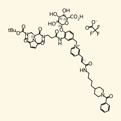 CC(C)(C)OC(=O)NC[C@@H](C(=O)NCCC(=O)Nc1cc(C[n+]2cccc(/C=C/C(=O)NCCCCC3CCN(C(=O)c4ccccc4)CC3)c2)ccc1O[C@@H]1O[C@H](C(=O)O)[C@@H](O)[C@H](O)[C@H]1O)N1C(=O)C=CC1=O.O=C([O-])C(F)(F)F